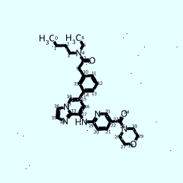 CCCCN(CC)C(=O)Cc1cccc(-c2cc(Nc3ccc(C(=O)N4CCOCC4)cn3)c3nccn3c2)c1